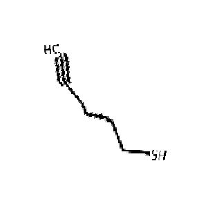 C#CCCCS